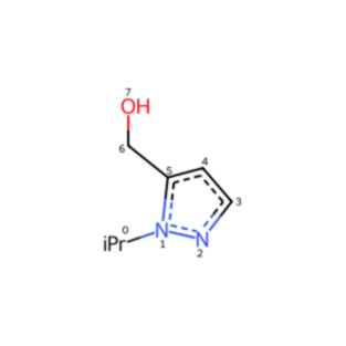 CC(C)n1nccc1CO